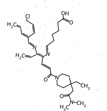 C=C/C=C(\C=C/CCl)/C=N/C(C=C)=C(/C=C/C(=O)N1CCC(CC)(CC(=O)N(C)C)CC1)\N=C\CCCCC(=O)O